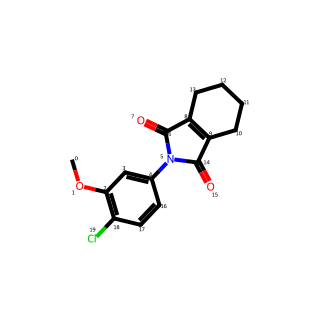 COc1cc(N2C(=O)C3=C(CCCC3)C2=O)ccc1Cl